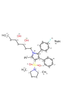 CC(C)c1c(S(=O)(=O)N2[C@H](C)CC[C@@H]2C)c(-c2ccccc2)c(-c2ccc(F)cc2)n1CC[C@@H](O)C[C@@H](O)CC(=O)O.[NaH]